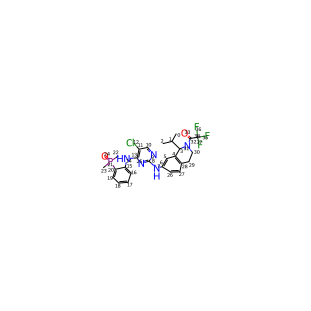 CC(C)C1c2cc(Nc3ncc(Cl)c(Nc4ccccc4P(C)(C)=O)n3)ccc2CCN1C(=O)C(F)(F)F